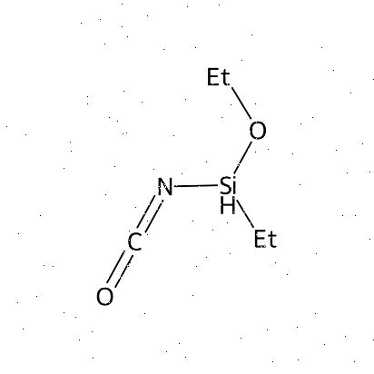 CCO[SiH](CC)N=C=O